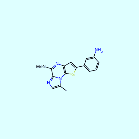 CNc1nc2cc(-c3cccc(N)c3)sc2n2c(C)cnc12